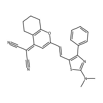 CN(C)c1nc(-c2ccccc2)c(/C=C/C2=CC(=C(C#N)C#N)C3=C(CCCC3)O2)s1